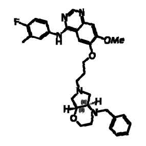 COc1cc2ncnc(Nc3ccc(F)c(C)c3)c2cc1OCCCN1C[C@@H]2[C@@H](C1)OCCN2Cc1ccccc1